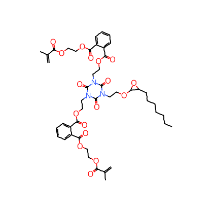 C=C(C)C(=O)OCCOC(=O)c1ccccc1C(=O)OCCn1c(=O)n(CCOC(=O)c2ccccc2C(=O)OCCOC(=O)C(=C)C)c(=O)n(CCOC2OC2CCCCCCC)c1=O